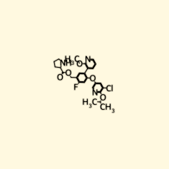 COc1ncccc1-c1cc(COC(=O)C2CCCN2)c(F)cc1Oc1cnc(OC(C)C)c(Cl)c1